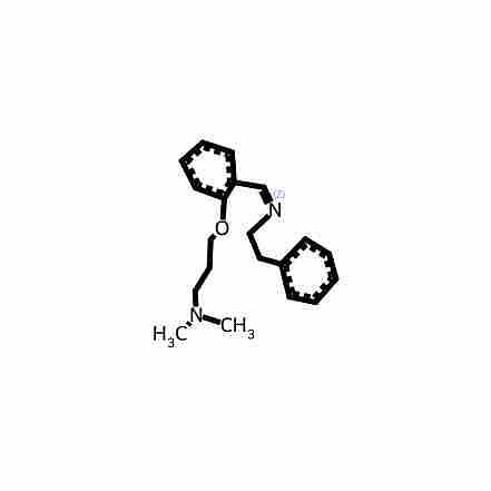 CN(C)CCCOc1ccccc1/C=N\CCc1ccccc1